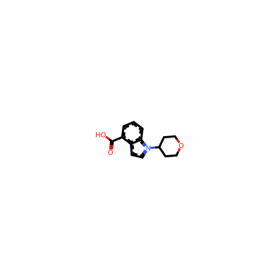 O=C(O)c1cccc2c1ccn2C1CCOCC1